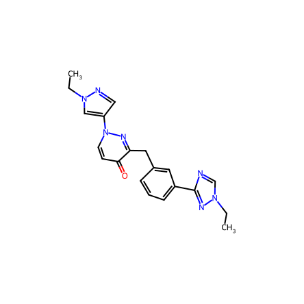 CCn1cc(-n2ccc(=O)c(Cc3cccc(-c4ncn(CC)n4)c3)n2)cn1